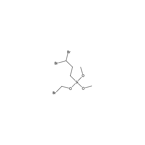 CO[Si](CCC(Br)Br)(OC)OCBr